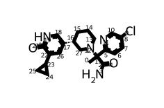 CC(C(N)=O)(c1ccc(Cl)cn1)N1CCC[C@@H](c2c[nH]c(=O)c(C3CC3)c2)C1